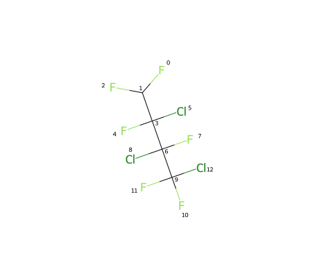 FC(F)C(F)(Cl)C(F)(Cl)C(F)(F)Cl